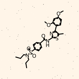 CCCN(CCC)S(=O)(=O)c1ccc(C(=O)Nc2nc(-c3ccc(OC)cc3OC)c(C)s2)cc1